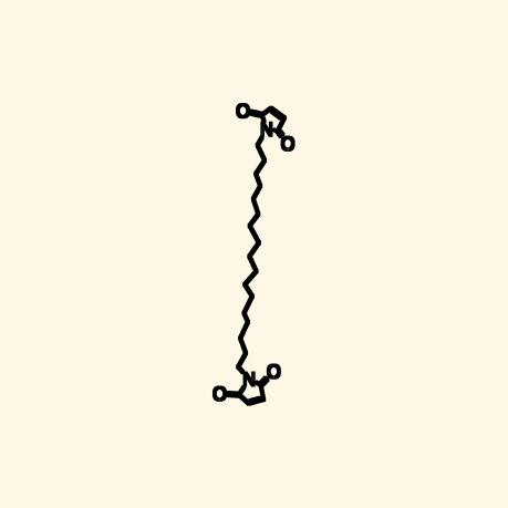 O=C1C=CC(=O)N1CCCCCCCCCCCCCCCCCN1C(=O)C=CC1=O